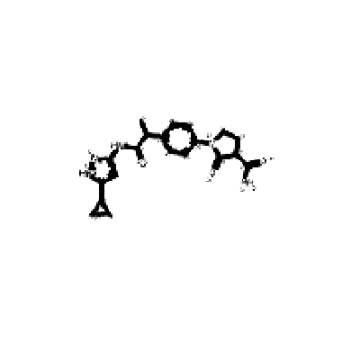 CC(C(=O)Nc1cc(C2CC2)[nH]n1)c1ccc(N2CCC(C(N)=O)C2=O)cc1